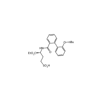 CCCCOc1ccccc1-c1ccccc1C(=O)N[C@@H](CCS(=O)(=O)O)C(=O)OCC